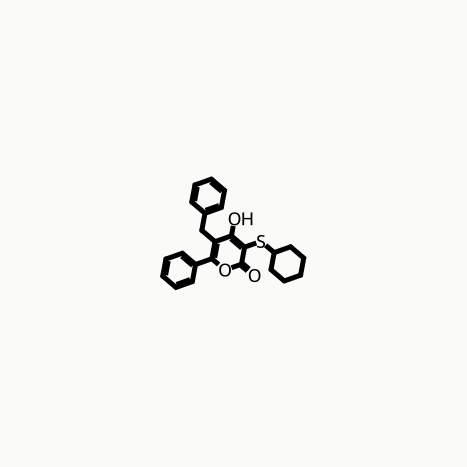 O=c1oc(-c2ccccc2)c(Cc2ccccc2)c(O)c1SC1CCCCC1